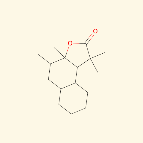 CC1CC2CCCCC2C2C(C)(C)C(=O)OC12C